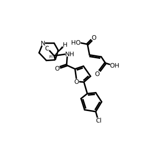 O=C(N[C@H]1CN2CCC1CC2)c1ccc(-c2ccc(Cl)cc2)o1.O=C(O)C=CC(=O)O